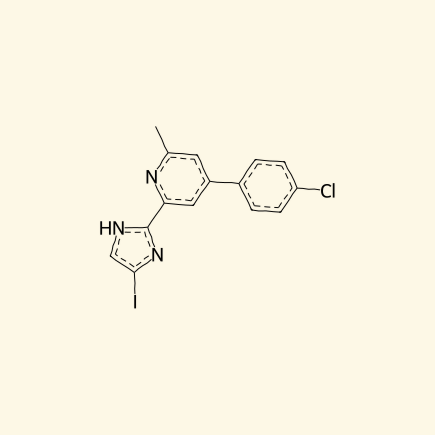 Cc1cc(-c2ccc(Cl)cc2)cc(-c2nc(I)c[nH]2)n1